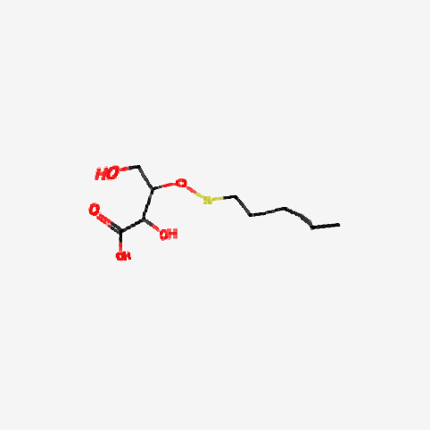 CCCCCSOC(CO)C(O)C(=O)O